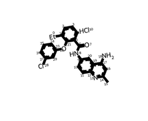 CCc1cccc(C(=O)Nc2ccc3nc(C)cc(N)c3c2)c1Oc1cccc(Cl)c1.Cl